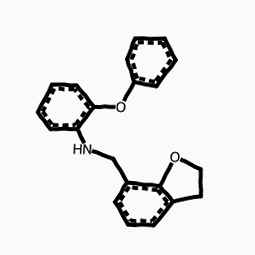 c1ccc(Oc2ccccc2NCc2cccc3c2OCC3)cc1